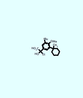 CCC(O)(C(=O)O)c1cc(C(C)(C)C)c(OC)c(C2(C)CCCCC2)c1